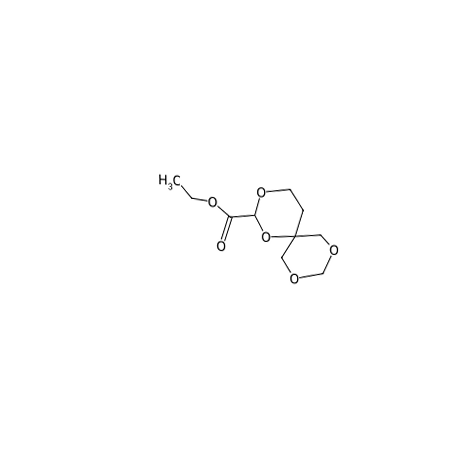 CCOC(=O)C1OCCC2(COCOC2)O1